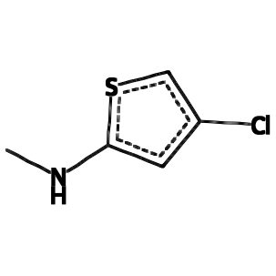 CNc1cc(Cl)cs1